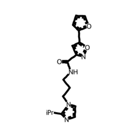 CC(C)c1nccn1CCCNC(=O)c1cc(-c2ccco2)on1